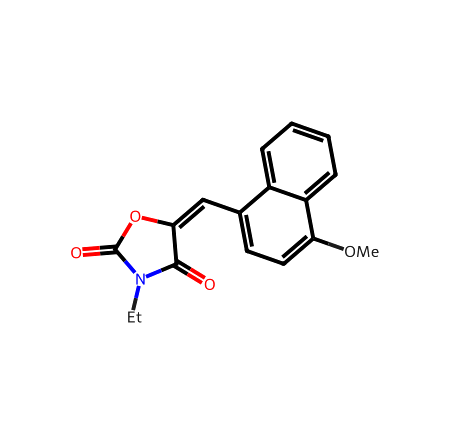 CCN1C(=O)O/C(=C/c2ccc(OC)c3ccccc23)C1=O